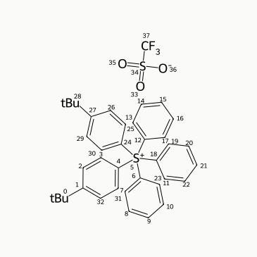 CC(C)(C)c1ccc([S+](c2ccccc2)(c2ccccc2)(c2ccccc2)c2ccc(C(C)(C)C)cc2)cc1.O=S(=O)([O-])C(F)(F)F